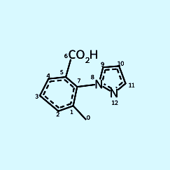 Cc1cccc(C(=O)O)c1-n1cccn1